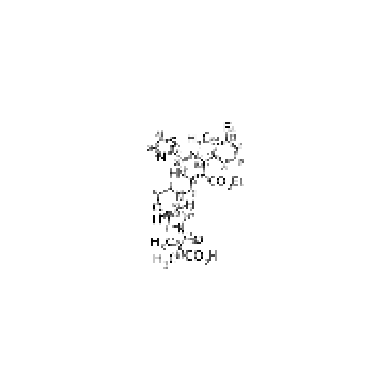 CCOC(=O)C1=C(CN2CCO[C@H]3CN(C(=O)C(C)(C)C(=O)O)C[C@H]32)NC(c2nccs2)=N[C@H]1c1cccc(F)c1C